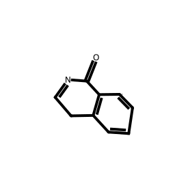 O=C1N=CCc2ccc[c]c21